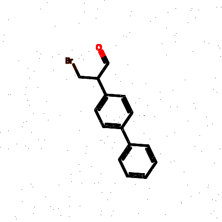 O=CC(CBr)c1ccc(-c2ccccc2)cc1